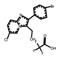 O=C(O)C(F)(F)F.OCc1c(-c2ccc(Br)cc2)nc2ccc(Cl)cn12